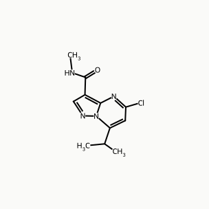 CNC(=O)c1cnn2c(C(C)C)cc(Cl)nc12